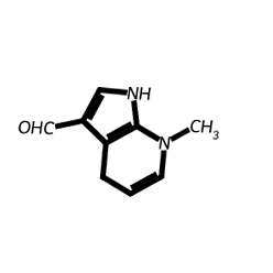 CN1C=CCc2c(C=O)c[nH]c21